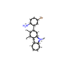 Cc1c(-c2cc(Br)ccc2N)cc2c(c1C)c1ccccc1n2C